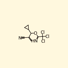 C=C(C#N)C(OC(=N)C(Cl)(Cl)Cl)C1CC1